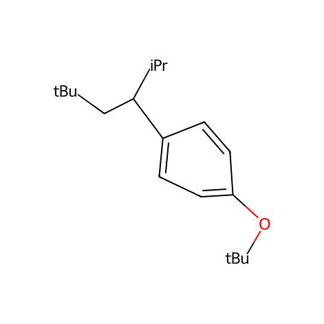 CC(C)C(CC(C)(C)C)c1ccc(OC(C)(C)C)cc1